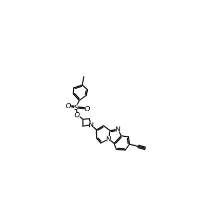 C#Cc1ccc2c(c1)nc1cc(N3CC(OS(=O)(=O)c4ccc(C)cc4)C3)ccn12